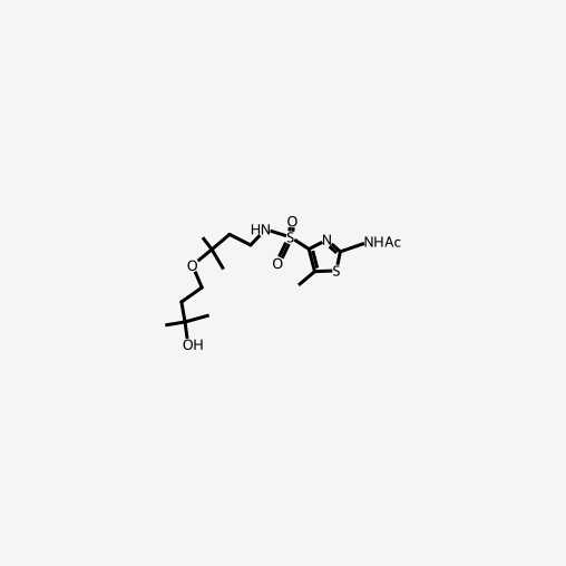 CC(=O)Nc1nc(S(=O)(=O)NCCC(C)(C)OCCC(C)(C)O)c(C)s1